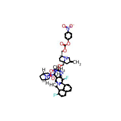 C#Cc1c(F)ccc2cccc(-c3ncc4c(N5C[C@H]6CC[C@@H](C5)N6C(=O)OC(C)(C)C)nc(OC[C@@]56CC[C@@H](COC(=O)Oc7ccc([N+](=O)[O-])cc7)N5CC(=C)C6)nc4c3F)c12